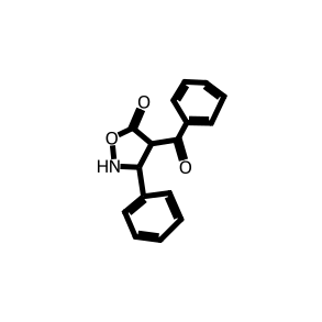 O=C1ONC(c2ccccc2)C1C(=O)c1ccccc1